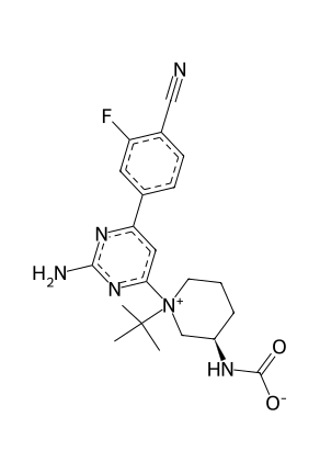 CC(C)(C)[N+]1(c2cc(-c3ccc(C#N)c(F)c3)nc(N)n2)CCC[C@@H](NC(=O)[O-])C1